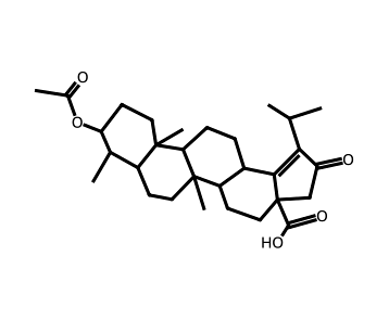 CC(=O)OC1CCC2(C)C(CCC3(C)C4CCC5(C(=O)O)CC(=O)C(C(C)C)=C5C4CCC32)C1C